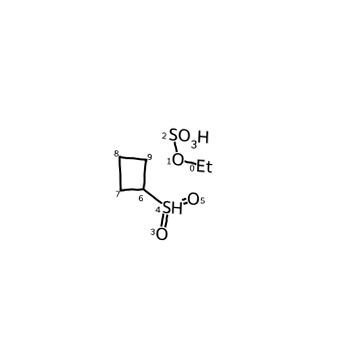 CCOS(=O)(=O)O.O=[SH](=O)C1CCC1